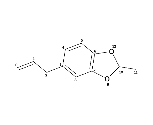 C=CCc1ccc2c(c1)OC(C)O2